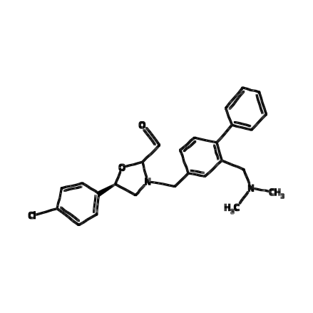 CN(C)Cc1cc(CN2C[C@@H](c3ccc(Cl)cc3)OC2C=O)ccc1-c1ccccc1